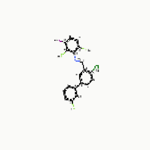 Fc1cccc(-c2ccc(Cl)c(CNc3c(F)ccc(I)c3F)c2)c1